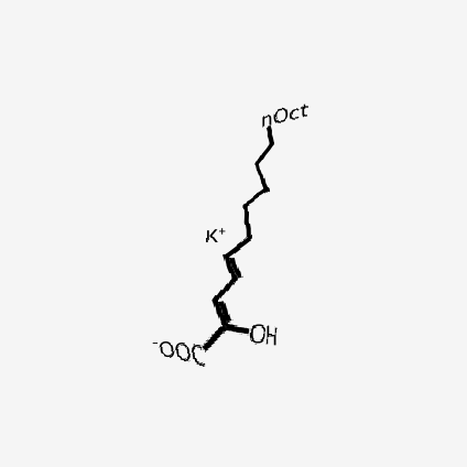 CCCCCCCCCCCCCC=CC=C(O)C(=O)[O-].[K+]